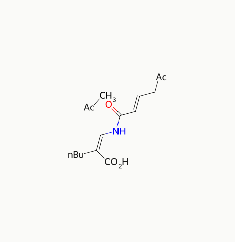 CC(C)=O.CCCCC(=CNC(=O)C=CCC(C)=O)C(=O)O